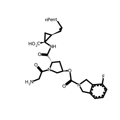 CCCCC/C=C\[C@@H]1C[C@]1(NC(=O)[C@@H]1C[C@@H](OC(=O)N2Cc3cccc(F)c3C2)CN1C(=O)CN)C(=O)O